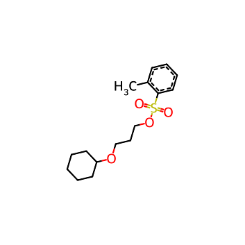 Cc1ccccc1S(=O)(=O)OCCCOC1CCCCC1